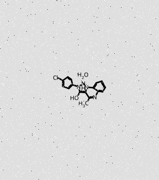 CC1=Nc2ccccc2N2NN(c3ccc(Cl)cc3)C(O)=C12.O